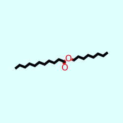 CCCCCCCCCCC(=O)OCCCCCCCC